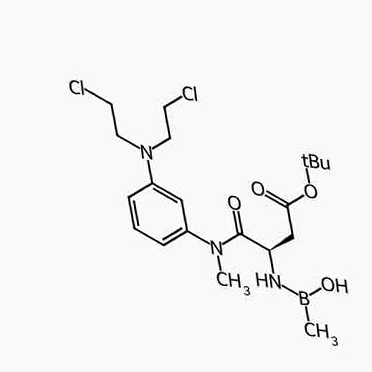 CB(O)N[C@H](CC(=O)OC(C)(C)C)C(=O)N(C)c1cccc(N(CCCl)CCCl)c1